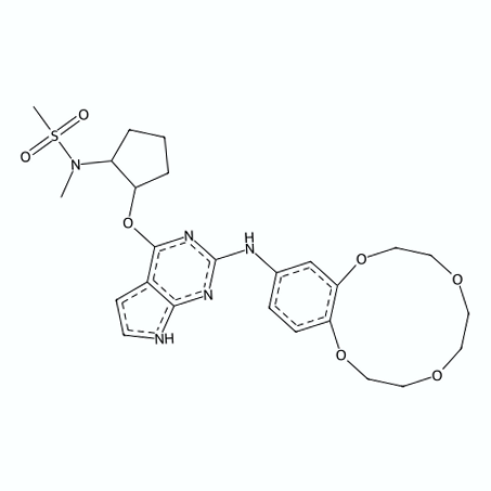 CN(C1CCCC1Oc1nc(Nc2ccc3c(c2)OCCOCCOCCO3)nc2[nH]ccc12)S(C)(=O)=O